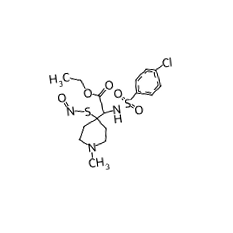 CCOC(=O)C(NS(=O)(=O)c1ccc(Cl)cc1)C1(SN=O)CCN(C)CC1